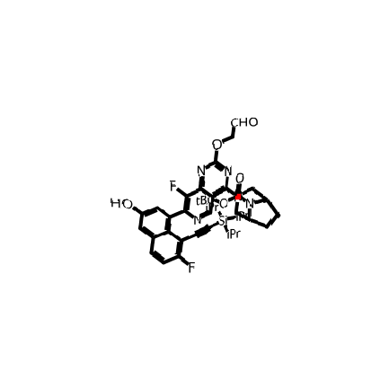 CC(C)[Si](C#Cc1c(F)ccc2cc(O)cc(-c3ncc4c(N5CC6CCC(C5)N6C(=O)OC(C)(C)C)nc(OCC=O)nc4c3F)c12)(C(C)C)C(C)C